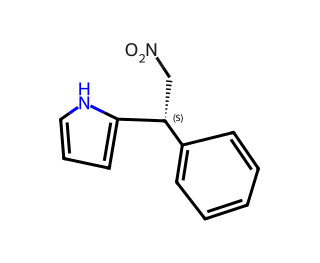 O=[N+]([O-])C[C@H](c1ccccc1)c1ccc[nH]1